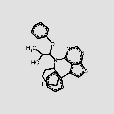 CC(O)C(Oc1ccccc1)N(c1ncnc2scc(-c3ccccc3)c12)C1CCNCC1